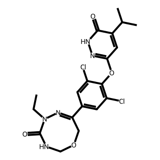 CCN1/N=C(/c2cc(Cl)c(Oc3cc(C(C)C)c(=O)[nH]n3)c(Cl)c2)COCNC1=O